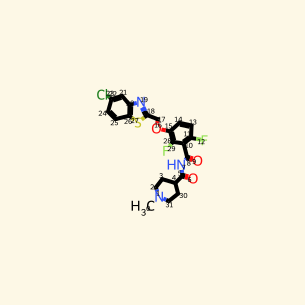 CN1CCC(C(=O)NC(=O)c2c(F)ccc(OCc3nc4cc(Cl)ccc4s3)c2F)CC1